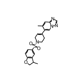 Cc1cc2ncnn2cc1C1=CCN(S(=O)(=O)c2ccc3c(c2)C(C)CO3)CC1